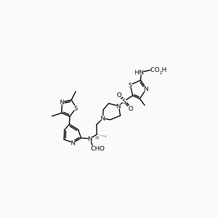 Cc1nc(C)c(-c2ccnc(N(C=O)[C@@H](C)CN3CCN(S(=O)(=O)c4sc(NC(=O)O)nc4C)CC3)c2)s1